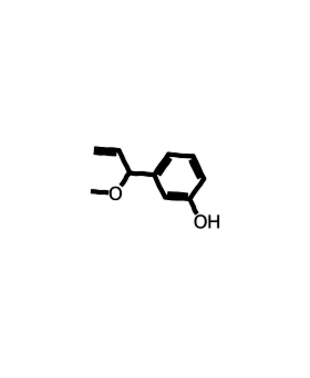 C=CC(OC)c1cccc(O)c1